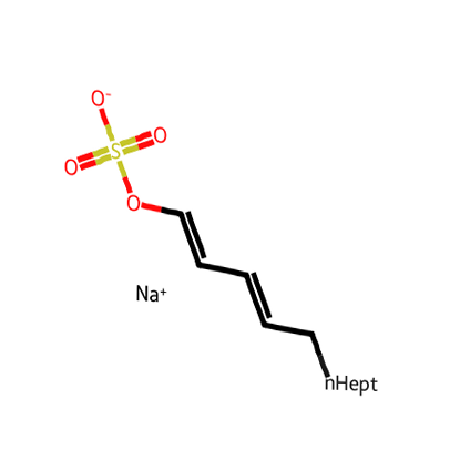 CCCCCCCC/C=C/C=C/OS(=O)(=O)[O-].[Na+]